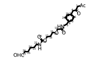 CC(=O)CC(=O)Cc1ccc(CNC(=O)COCCCOC(=O)NCCCCCC=O)cc1